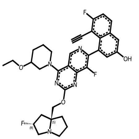 C#Cc1c(F)ccc2cc(O)cc(-c3ncc4c(N5CCCC(OCC)C5)nc(OC[C@@]56CCCN5C[C@H](F)C6)nc4c3F)c12